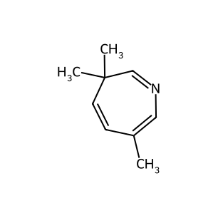 CC1=CN=CC(C)(C)C=C1